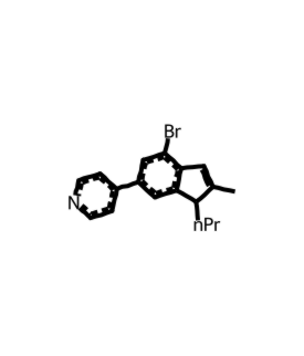 CCCC1C(C)=Cc2c(Br)cc(-c3ccncc3)cc21